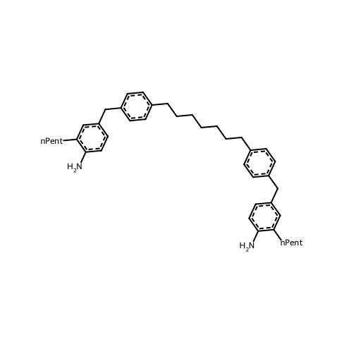 CCCCCc1cc(Cc2ccc(CCCCCCCc3ccc(Cc4ccc(N)c(CCCCC)c4)cc3)cc2)ccc1N